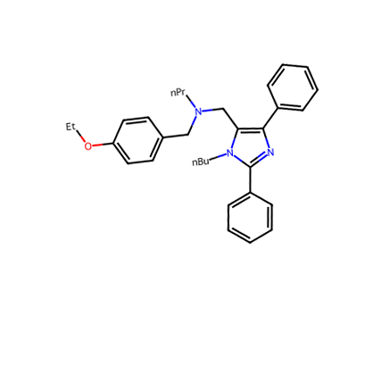 CCCCn1c(-c2ccccc2)nc(-c2ccccc2)c1CN(CCC)Cc1ccc(OCC)cc1